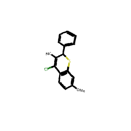 COc1ccc2c(c1)SC(c1ccccc1)C(C#N)=C2Cl